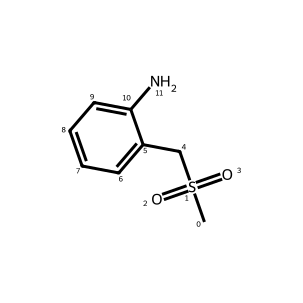 CS(=O)(=O)Cc1ccccc1N